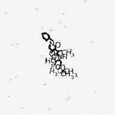 CCC(C(=O)NC(CC(=O)OC(C)(C)C)C(O)CF)c1c(C)ccn(Cc2ccccc2)c1=O